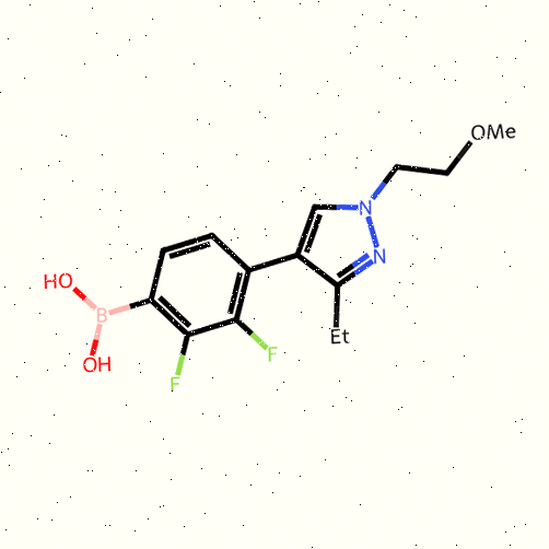 CCc1nn(CCOC)cc1-c1ccc(B(O)O)c(F)c1F